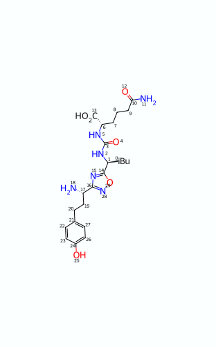 CCC(C)[C@H](NC(=O)N[C@@H](CCCC(N)=O)C(=O)O)c1nc([C@@H](N)CCc2ccc(O)cc2)no1